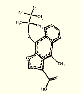 Cc1c2ccccc2c(O[Si](C)(C)C(C)(C)C)c2occ(C(=O)O)c12